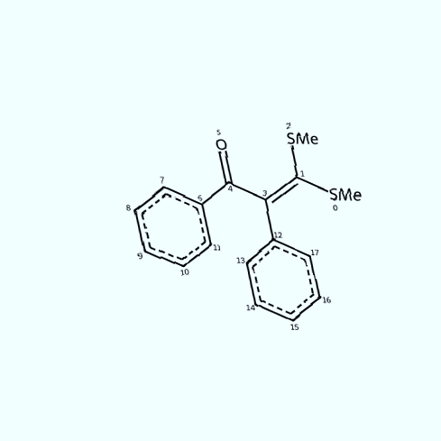 CSC(SC)=C(C(=O)c1ccccc1)c1ccccc1